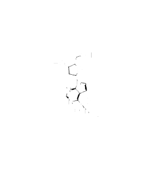 NS(=O)(=O)c1ncnc2c1ccn2[C@@H]1C[C@H](O)[C@@H](CO)O1